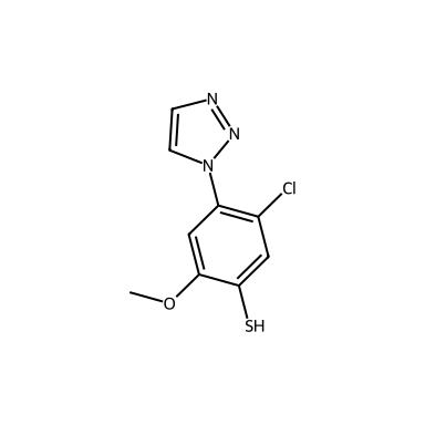 COc1cc(-n2ccnn2)c(Cl)cc1S